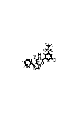 CC(C)S(=O)(=O)c1cc(Cl)cc(C(=O)N[C@H](C)c2ncnn2-c2ncccn2)c1